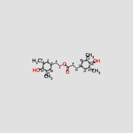 Cc1cc(CCOC(=O)CCc2cc(C)c(O)c(C)c2)cc(C)c1O